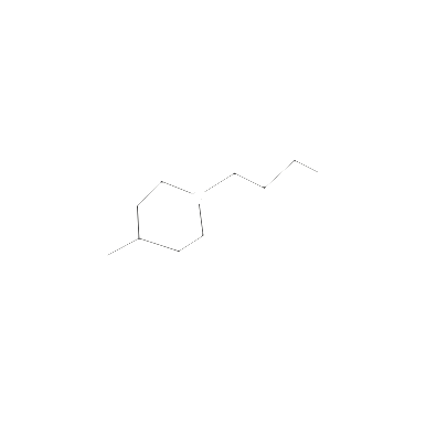 OCCCN1CCC(O)CC1